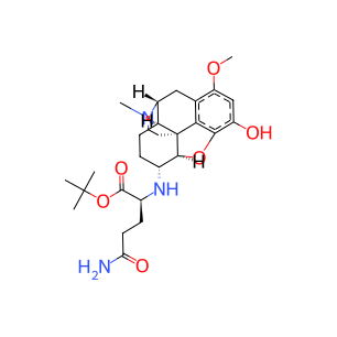 COc1cc(O)c2c3c1C[C@@H]1[C@@H]4CC[C@@H](N[C@@H](CCC(N)=O)C(=O)OC(C)(C)C)[C@H](O2)[C@]34CCN1C